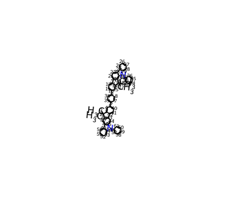 CC1(C)c2cc(-c3ccc(-c4ccc5c(c4)C(C)(C)c4c-5ccc5c6ccccc6n(-c6ccccc6)c45)cc3)ccc2-c2cc3c(cc21)c1ccccc1n3-c1ccccc1